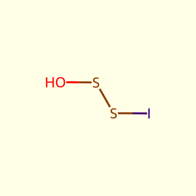 OSSI